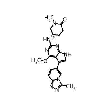 COc1nc(N[C@H]2CCC(=O)N(C)C2)nc2[nH]cc(-c3ccc4nnc(C)n4c3)c12